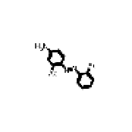 CC(=O)c1ccccc1/N=N/c1ccc(N)cc1C(C)=O